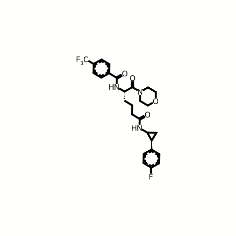 O=C(CCC[C@H](NC(=O)c1ccc(C(F)(F)F)cc1)C(=O)N1CCOCC1)NC1C[C@H]1c1ccc(F)cc1